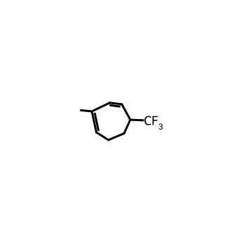 CC1=CCCC(C(F)(F)F)C=C1